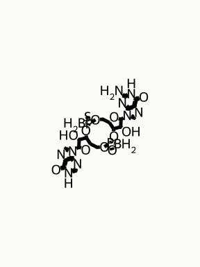 BP1(=O)OCC2OC(n3cnc4c(=O)[nH]cnc43)C(O)C2OP(B)(=S)OCC2OC(n3cnc4c(=O)[nH]c(N)nc43)C(O)C2O1